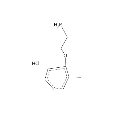 Cc1ccccc1OCCP.Cl